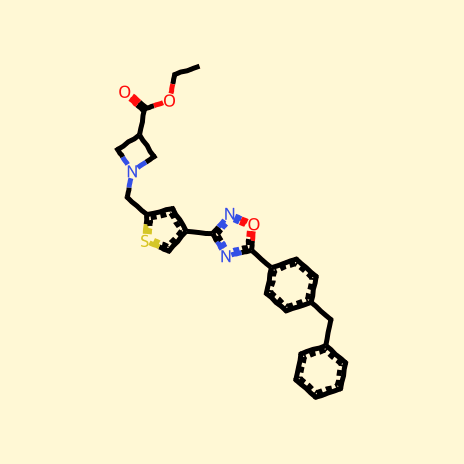 CCOC(=O)C1CN(Cc2cc(-c3noc(-c4ccc(Cc5ccccc5)cc4)n3)cs2)C1